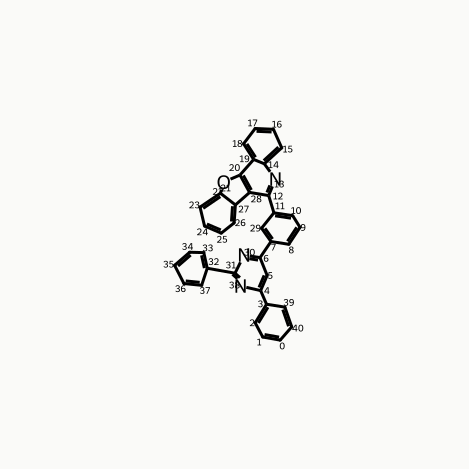 c1ccc(-c2cc(-c3cccc(-c4nc5ccccc5c5oc6ccccc6c45)c3)nc(-c3ccccc3)n2)cc1